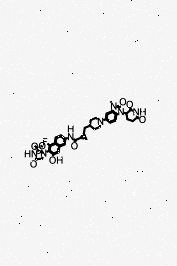 Cn1c(=O)n(C2CCC(=O)NC2=O)c2ccc(N3CCC(CC4CC4C(=O)Nc4ccc5c(F)c(N6CC(=O)NS6(=O)=O)c(O)cc5c4)CC3)cc21